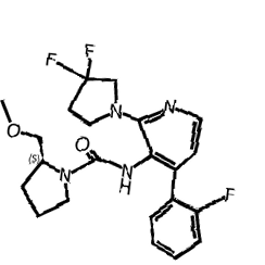 COC[C@@H]1CCCN1C(=O)Nc1c(-c2ccccc2F)ccnc1N1CCC(F)(F)C1